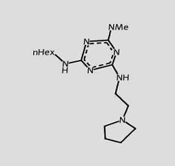 CCCCCCNc1nc(NC)nc(NCCN2CCCC2)n1